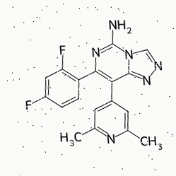 Cc1cc(-c2c(-c3ccc(F)cc3F)nc(N)n3cnnc23)cc(C)n1